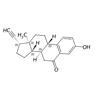 C#C[C@H]1CC[C@H]2[C@@H]3CC(=O)c4cc(O)ccc4[C@H]3CC[C@]12C